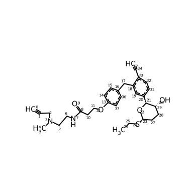 C#CCN(C)CCNC(=O)CCOc1ccc(Cc2cc([C@@H]3O[C@H](SCC)CC[C@H]3O)ccc2C#C)cc1